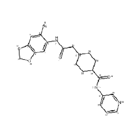 CC(=O)c1cc2c(cc1NC(=O)CN1CCC(C(=O)Nc3cccnc3)CC1)OCO2